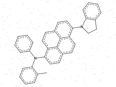 Cc1ccccc1N(c1ccccc1)c1ccc2ccc3c(N4CCc5ccccc54)ccc4ccc1c2c43